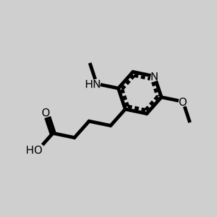 CNc1cnc(OC)cc1CCCC(=O)O